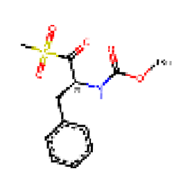 CC(C)(C)OC(=O)N[C@@H](Cc1ccccc1)C(=O)S(C)(=O)=O